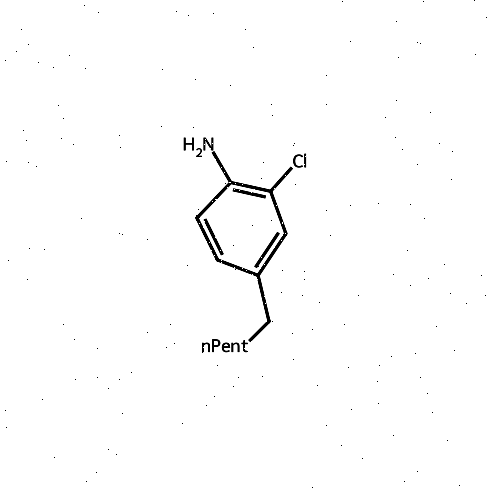 CCCCCCc1ccc(N)c(Cl)c1